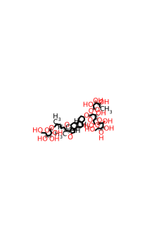 CC1O[C@@H](OC2[C@H](OC3CC[C@@]4(C)C(=CC[C@H]5[C@@H]6CC(=O)[C@H]([C@H](C)C(=O)CC[C@@H](C)CO[C@@H]7OC(CO)[C@@H](O)[C@H](O)C7O)[C@@]6(C)CC[C@@H]54)C3)OC(CO)[C@@H](O[C@@H]3OC(CO)[C@@H](O)[C@H](O)C3O)[C@@H]2O)C(O)[C@@H](O)[C@H]1O